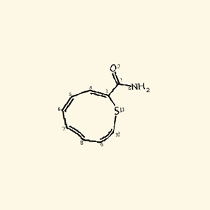 NC(=O)c1cccccccs1